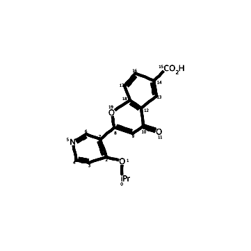 CC(C)Oc1ccncc1-c1cc(=O)c2cc(C(=O)O)ccc2o1